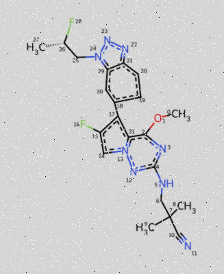 COc1nc(NCC(C)(C)C#N)nn2cc(F)c(-c3ccc4nnn(C[C@H](C)F)c4c3)c12